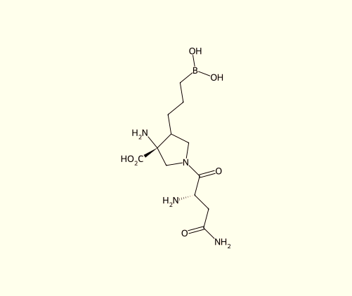 NC(=O)C[C@H](N)C(=O)N1CC(CCCB(O)O)[C@](N)(C(=O)O)C1